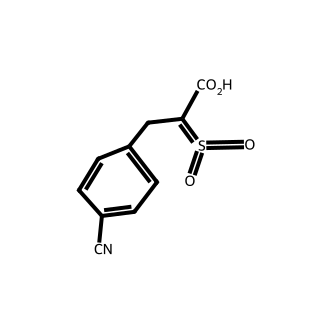 N#Cc1ccc(CC(C(=O)O)=S(=O)=O)cc1